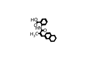 CC(=Cc1ccc2c(c1)CCCC2)C(=O)Nc1ccccc1C(=O)O